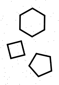 C1CCC1.C1CCCC1.C1CCCCC1